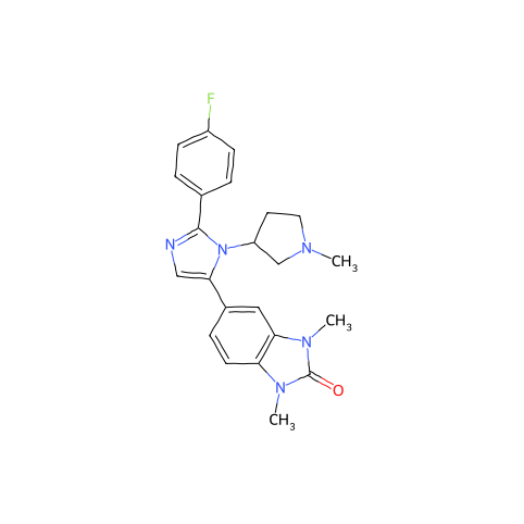 CN1CCC(n2c(-c3ccc4c(c3)n(C)c(=O)n4C)cnc2-c2ccc(F)cc2)C1